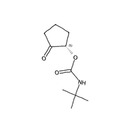 CC(C)(C)NC(=O)O[C@H]1CCCC1=O